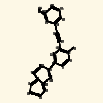 Cc1ccc(-c2ncc3ccccc3n2)nc1C#Cc1cccc(F)c1